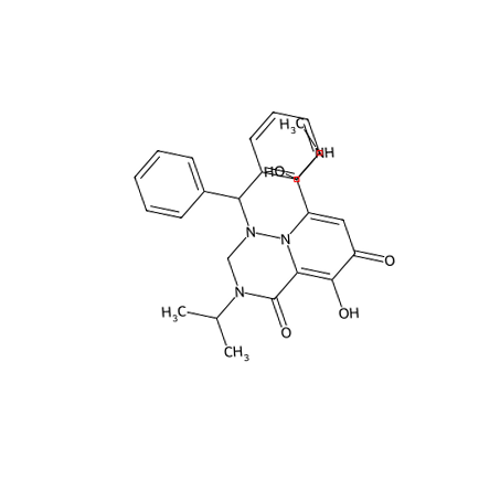 CNC(O)c1cc(=O)c(O)c2n1N(C(c1ccccc1)c1ccccc1)CN(C(C)C)C2=O